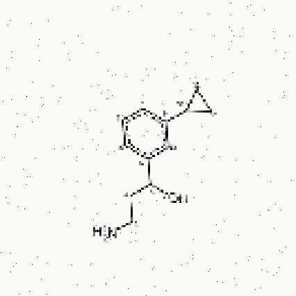 NCCC(O)c1cccc(C2CC2)c1